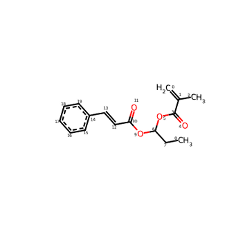 C=C(C)C(=O)OC(CC)OC(=O)C=Cc1ccccc1